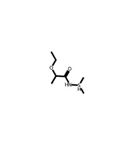 CCOC(C)C(=O)N[SH](C)C